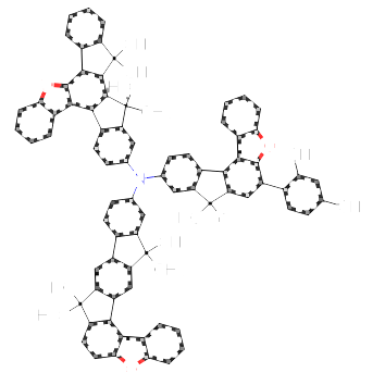 Cc1ccc(-c2cc3c(c4c2oc2ccccc24)-c2ccc(N(c4ccc5c(c4)C(C)(C)c4cc6c(cc4-5)C(C)(C)c4ccc5oc7ccccc7c5c4-6)c4ccc5c(c4)C(C)(C)c4c6c(c7oc8ccccc8c7c4-5)-c4ccccc4C6(C)C)cc2C3(C)C)c(C)c1